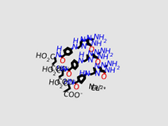 Nc1nc2ncc(CNc3ccc(C(=O)N[C@@H](CCC(=O)[O-])C(=O)O)cc3)nc2c(=O)[nH]1.Nc1nc2ncc(CNc3ccc(C(=O)N[C@@H](CCC(=O)[O-])C(=O)O)cc3)nc2c(=O)[nH]1.Nc1nc2ncc(CNc3ccc(C(=O)N[C@@H](CCC(=O)[O-])C(=O)O)cc3)nc2c(=O)[nH]1.[Cu+2].[Na+]